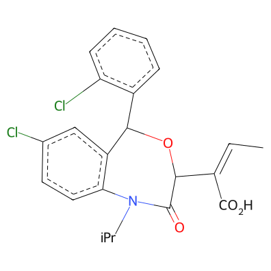 CC=C(C(=O)O)C1OC(c2ccccc2Cl)c2cc(Cl)ccc2N(C(C)C)C1=O